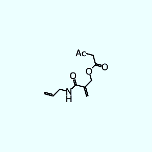 C=CCNC(=O)C(=C)COC(=O)CC(C)=O